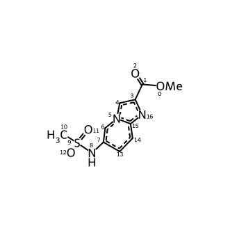 COC(=O)c1cn2cc(NS(C)(=O)=O)ccc2n1